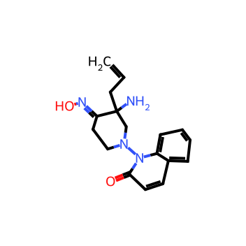 C=CCC1(N)CN(n2c(=O)ccc3ccccc32)CCC1=NO